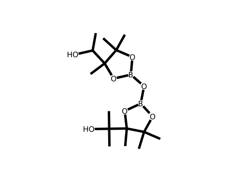 CC(O)C1(C)OB(OB2OC(C)(C)C(C)(C(C)(C)O)O2)OC1(C)C